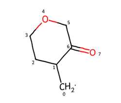 [CH2]C1CCOCC1=O